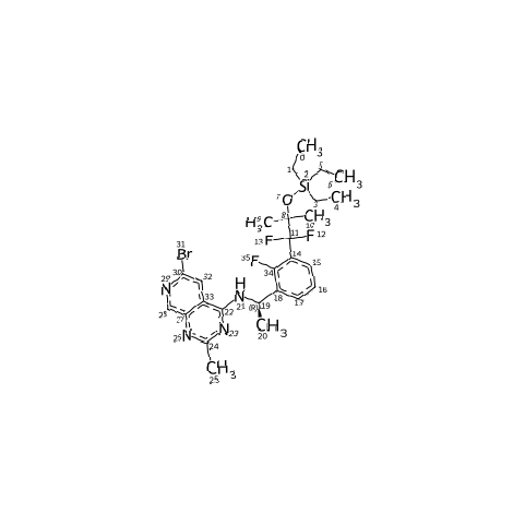 CC[Si](CC)(CC)OC(C)(C)C(F)(F)c1cccc([C@@H](C)Nc2nc(C)nc3cnc(Br)cc23)c1F